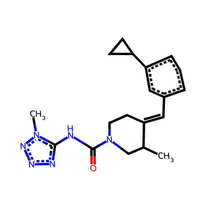 CC1CN(C(=O)Nc2nnnn2C)CCC1=Cc1cccc(C2CC2)c1